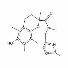 Cc1nc(CN(C)C(=O)C2(C)CCc3c(C)c(O)c(C)c(C)c3O2)cs1